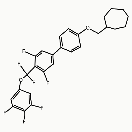 Fc1cc(OC(F)(F)c2c(F)cc(-c3ccc(OCC4CCCCCC4)cc3)cc2F)cc(F)c1F